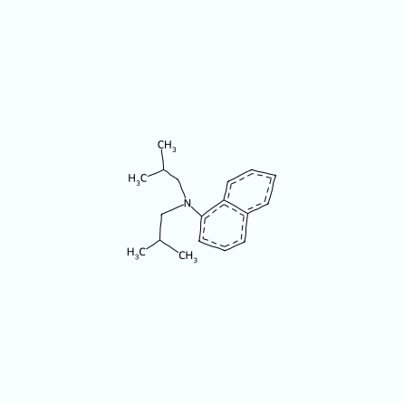 CC(C)CN(CC(C)C)c1cccc2ccccc12